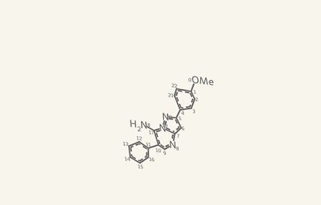 COc1ccc(-c2cc3ncc(-c4ccccc4)c(N)n3n2)cc1